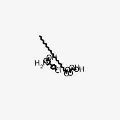 CCCCCCCCCCCCCCCCCCCCCC(=O)OC(=O)C(O)CO.NCC(CC(=O)O)c1ccc(Cl)cc1